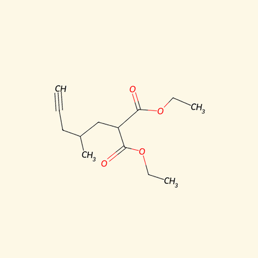 C#CCC(C)CC(C(=O)OCC)C(=O)OCC